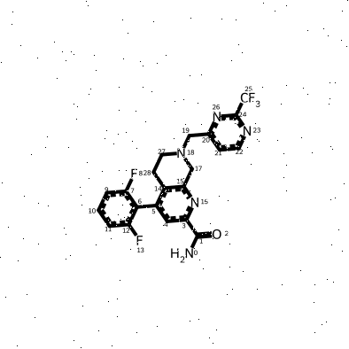 NC(=O)c1cc(-c2c(F)cccc2F)c2c(n1)CN(Cc1ccnc(C(F)(F)F)n1)CC2